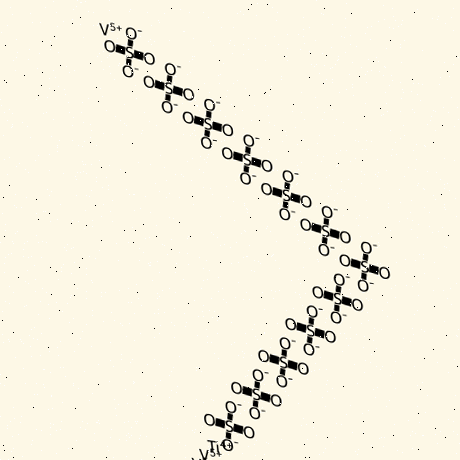 O=S(=O)([O-])[O-].O=S(=O)([O-])[O-].O=S(=O)([O-])[O-].O=S(=O)([O-])[O-].O=S(=O)([O-])[O-].O=S(=O)([O-])[O-].O=S(=O)([O-])[O-].O=S(=O)([O-])[O-].O=S(=O)([O-])[O-].O=S(=O)([O-])[O-].O=S(=O)([O-])[O-].O=S(=O)([O-])[O-].[Ti+4].[V+5].[V+5].[V+5].[V+5]